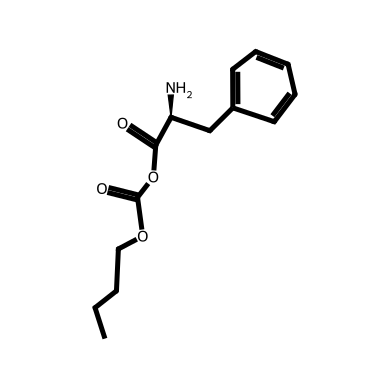 CCCCOC(=O)OC(=O)[C@@H](N)Cc1ccccc1